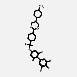 CC1CCC(C2COC(C3CCC(C(F)(F)Oc4cc(F)c(-c5cc(F)c(F)c(F)c5)c(F)c4)CC3)OC2)CC1